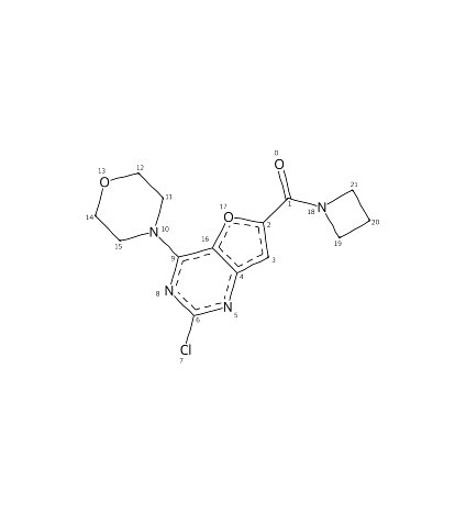 O=C(c1cc2nc(Cl)nc(N3CCOCC3)c2o1)N1CCC1